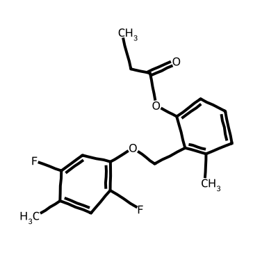 CCC(=O)Oc1cccc(C)c1COc1cc(F)c(C)cc1F